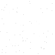 C[Si](C)(C)CCOP(=O)(OCC[Si](C)(C)C)Oc1cc(Cl)ccc1CO